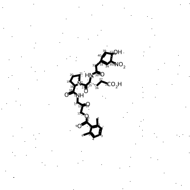 Cc1cccc(C)c1C(=O)OCC(=O)CNC(=O)C1CCCN1C(=O)[C@@H](CCC(=O)O)NC(=O)CC1=CC([N+](=O)[O-])C(O)C=C1